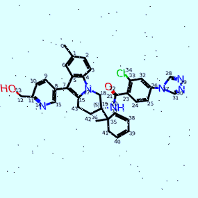 Cc1ccc2c(c1)c(-c1ccc(CO)nc1)c1n2C[C@@](NC(=O)c2ccc(-n3cnnc3)cc2Cl)(C2(C)C=CC=CC2)CC1